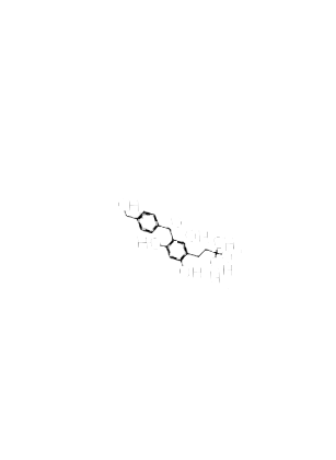 CCc1ccc(C(=O)c2c(O)cc(O)c(CCC(C)(C)O)c2O)cc1